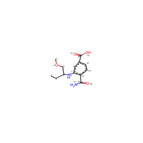 CCC(COC)Nc1cc(C(=O)O)ccc1C(N)=O